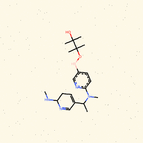 CNC1CC=C(C(C)N(C)c2ccc(BOC(C)(C)C(C)(C)O)cn2)C=N1